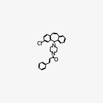 O=C(/C=C/c1ccccc1)N1CCN(C2c3ccccc3C=Cc3ccc(Cl)cc32)CC1